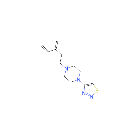 C=CC(=C)CCN1CCN(c2csnn2)CC1